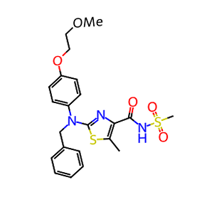 COCCOc1ccc(N(Cc2ccccc2)c2nc(C(=O)NS(C)(=O)=O)c(C)s2)cc1